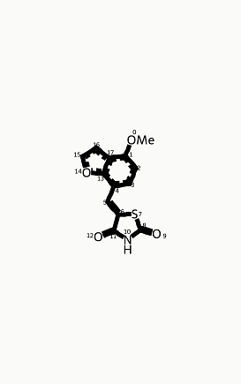 COc1ccc(C=C2SC(=O)NC2=O)c2occc12